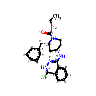 CCOC(=O)N1CC[C@H](NC2=NNC(Cl)c3ccccc32)C[C@@H]1Cc1ccccc1